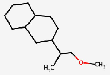 COCC(C)C1CCC2CCCCC2C1